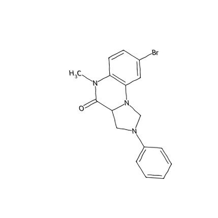 CN1C(=O)C2CN(c3ccccc3)CN2c2cc(Br)ccc21